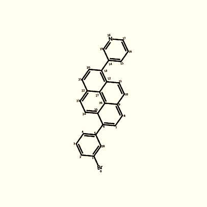 Brc1cccc(-c2ccc3ccc4c(-c5cccnc5)ccc5ccc2c3c54)c1